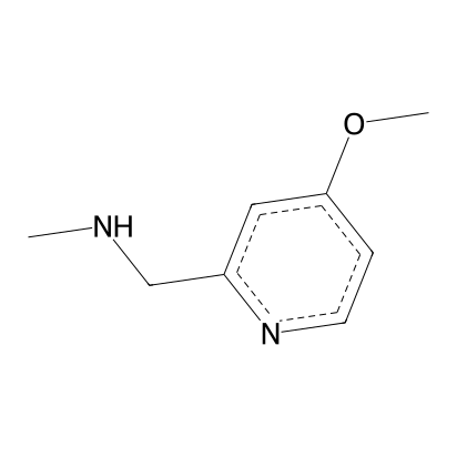 CNCc1cc(OC)ccn1